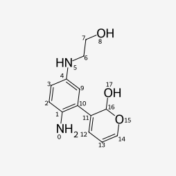 Nc1ccc(NCCO)cc1C1=CC=COC1O